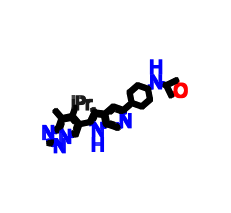 Cc1c(-c2[nH]c3cnc(C4CCC(NC5COC5)CC4)cc3c2C(C)C)cn2ncnc2c1C